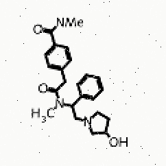 CNC(=O)c1ccc(CC(=O)N(C)C(CN2CCC(O)C2)c2ccccc2)cc1